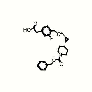 O=C(O)Cc1ccc(COC[C@H]2C[C@@H]2C2CCN(C(=O)OCc3ccccc3)CC2)c(F)c1